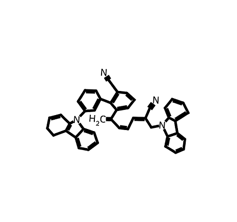 C=C(/C=C\C=C(\C#N)Cn1c2ccccc2c2ccccc21)c1cccc(C#N)c1-c1cccc(-n2c3c(c4ccccc42)CCC=C3)c1